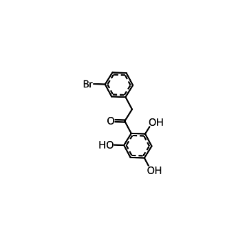 O=C(Cc1cccc(Br)c1)c1c(O)cc(O)cc1O